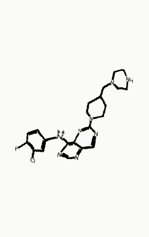 Fc1ccc(Nc2ncnc3cnc(N4CCC(CN5CCNCC5)CC4)nc23)cc1Cl